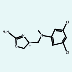 CN(C[C@H]1COC(N)=N1)c1cc(Cl)cc(Cl)c1